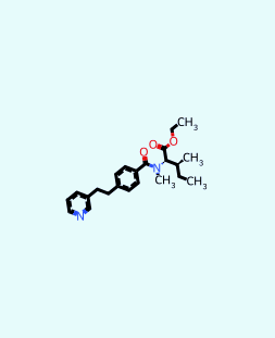 CCOC(=O)[C@H]([C@@H](C)CC)N(C)C(=O)c1ccc(CCc2cccnc2)cc1